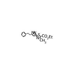 CCOC(=O)c1sc(-n2cc(CCc3ccccc3)nn2)nc1C